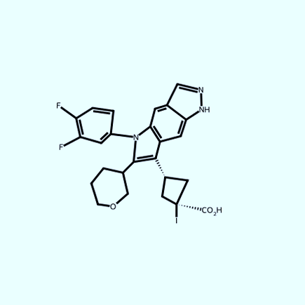 O=C(O)[C@]1(I)C[C@H](c2c(C3CCCOC3)n(-c3ccc(F)c(F)c3)c3cc4cn[nH]c4cc32)C1